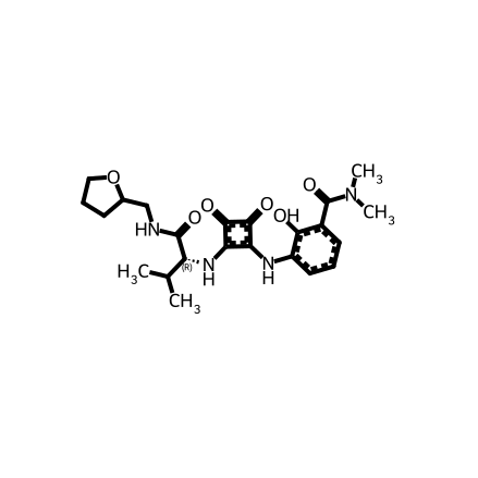 CC(C)[C@@H](Nc1c(Nc2cccc(C(=O)N(C)C)c2O)c(=O)c1=O)C(=O)NCC1CCCO1